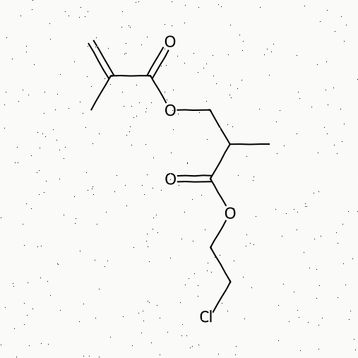 C=C(C)C(=O)OCC(C)C(=O)OCCCl